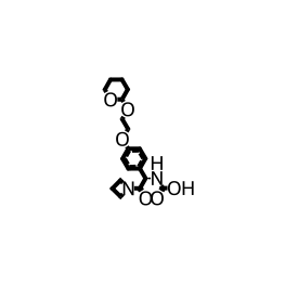 O=C(O)N[C@H](C(=O)N1CCC1)c1ccc(OCCOC2CCCCO2)cc1